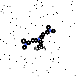 C/C=C\C1=C(C)Cc2cc3c4cc5cc(-c6ccc7c(c6)c6ccccc6n7-c6ccccc6)ccc5cc4n4c5cc6c(cc5c(c21)c34)C[C@@H](c1ccc2c(c1)c1c(n2C2=CCCC=C2)C=CCC=C1)C=C6